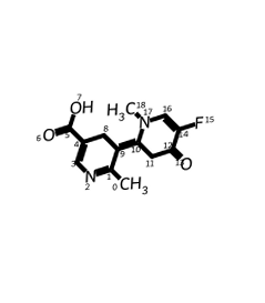 CC1=NC=C(C(=O)O)CC1=C1CC(=O)C(F)=CN1C